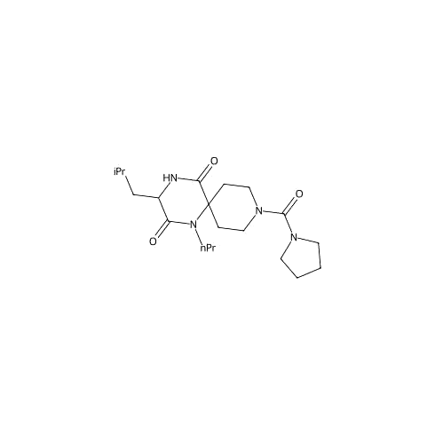 CCCN1C(=O)C(CC(C)C)NC(=O)C12CCN(C(=O)N1CCCC1)CC2